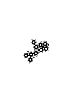 CCC1C=CC=C2C3=CCC(N(c4ccc(C5=CC=CCC5)cc4)c4ccc5oc6c(-c7ccccc7)c7c(cc6c5c4)oc4ccccc47)C=C3C(c3ccccc3)(c3ccccc3)C21